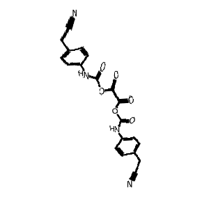 N#CCc1ccc(NC(=O)OC(=O)C(=O)OC(=O)Nc2ccc(CC#N)cc2)cc1